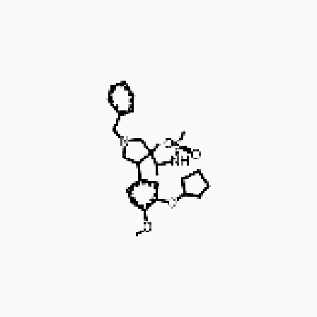 COc1ccc(C2CN(Cc3ccccc3)CC2(C)C(C)NS(C)(=O)=O)cc1OC1CCCC1